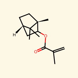 C=C(C)C(=O)OC1C[C@@H]2CC[C@@]1(C)C2(C)C